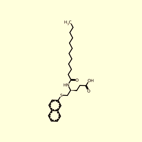 CCCCCCCCCCCC(=O)N[C@@H](CCC(=O)O)CSc1ccc2ccccc2c1